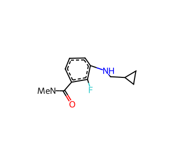 CNC(=O)c1cccc(NCC2CC2)c1F